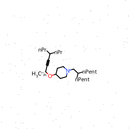 CCCCCC(CCCCC)CN1CCC(O[C@H](C)C#CC(CCC)CCC)CC1